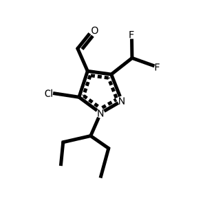 CCC(CC)n1nc(C(F)F)c(C=O)c1Cl